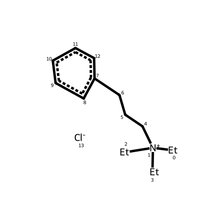 CC[N+](CC)(CC)CCCc1ccccc1.[Cl-]